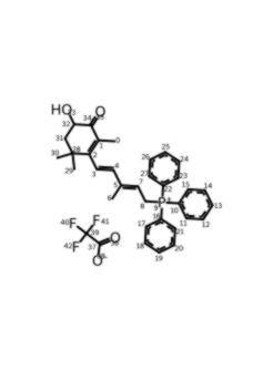 CC1=C(/C=C/C(C)=C/C[P+](c2ccccc2)(c2ccccc2)c2ccccc2)C(C)(C)CC(O)C1=O.O=C([O-])C(F)(F)F